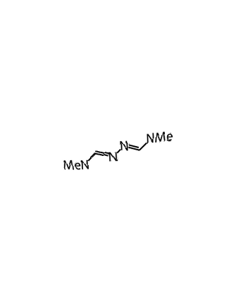 CNC=NN=CNC